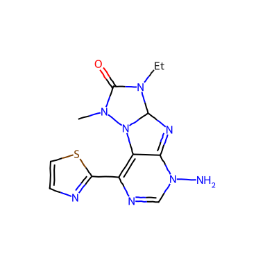 [CH2]CN1C(=O)N(C)N2C3=C(c4nccs4)N=CN(N)C3=NC12